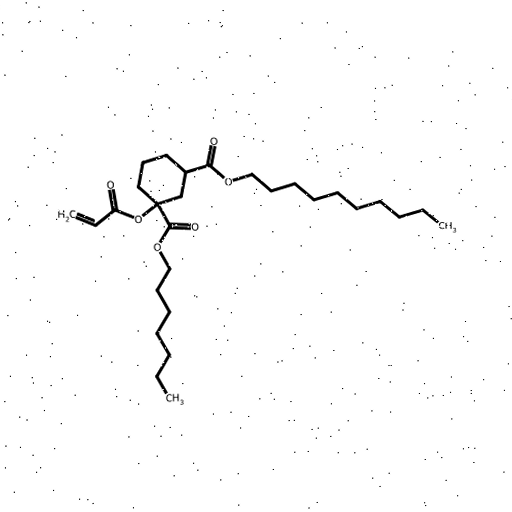 C=CC(=O)OC1(C(=O)OCCCCCCC)CCCC(C(=O)OCCCCCCCCCC)C1